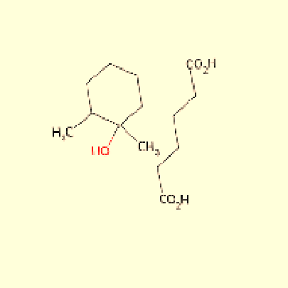 CC1CCCCC1(C)O.O=C(O)CCCCC(=O)O